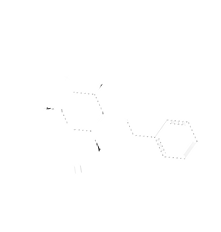 OC[C@H]1O[C@@H](O)[C@H](O)[C@@H](O)[C@@H]1OCc1ccccc1